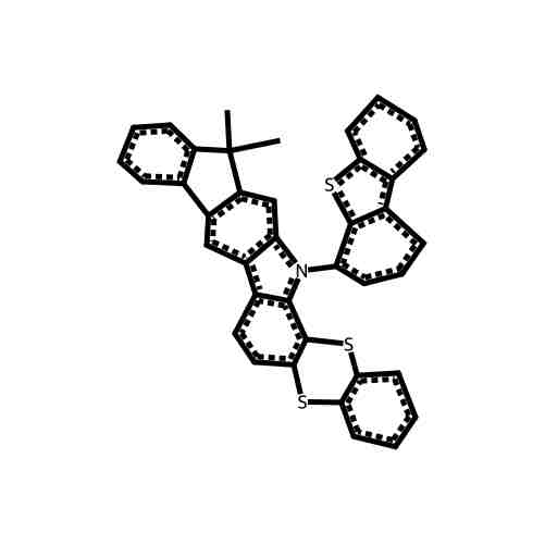 CC1(C)c2ccccc2-c2cc3c4ccc5c(c4n(-c4cccc6c4sc4ccccc46)c3cc21)Sc1ccccc1S5